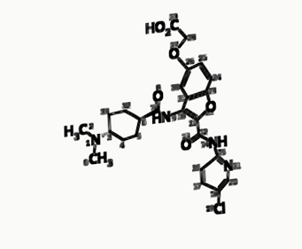 CN(C)[C@H]1CC[C@H](C(=O)Nc2c(C(=O)Nc3ccc(Cl)cn3)oc3ccc(OCC(=O)O)cc23)CC1